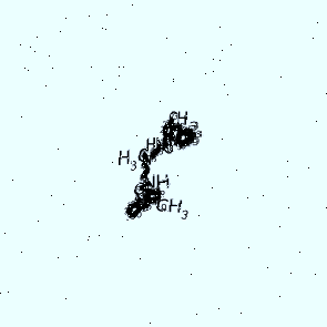 Cc1ccc(C(=O)NCCCN(C)CCCNC(=O)c2ccc(C)c3cc4ccccc4nc23)c2nc3ccccc3cc12